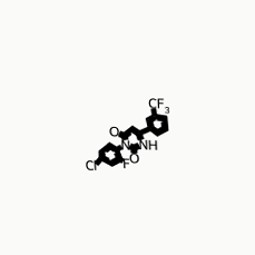 O=c1cc(-c2cccc(C(F)(F)F)c2)[nH]c(=O)n1-c1ccc(Cl)cc1F